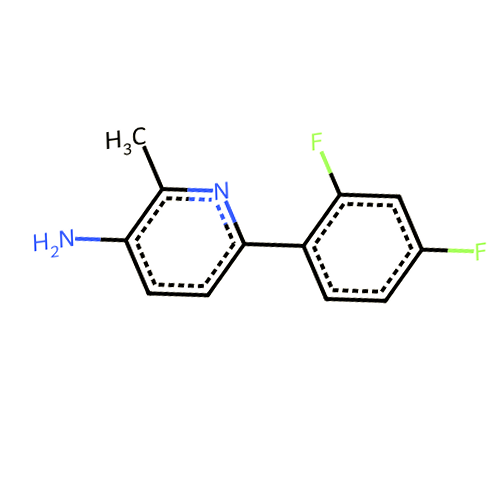 Cc1nc(-c2ccc(F)cc2F)ccc1N